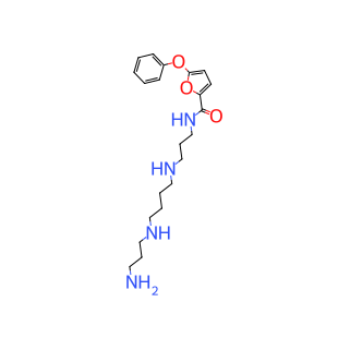 NCCCNCCCCNCCCNC(=O)c1ccc(Oc2ccccc2)o1